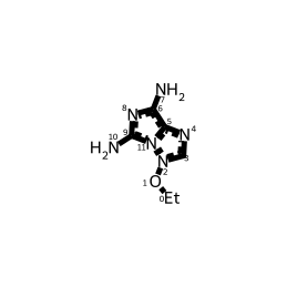 CCOn1cnc2c(N)nc(N)n21